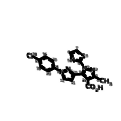 Cc1nn(-c2nccs2)c(-c2ccn(-c3ccc(Cl)cc3)n2)c1C(=O)O